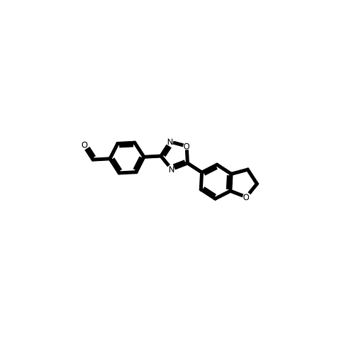 O=Cc1ccc(-c2noc(-c3ccc4c(c3)CCO4)n2)cc1